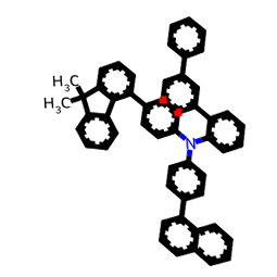 CC1(C)c2ccccc2-c2c(-c3ccc(N(c4ccc(-c5cccc6ccccc56)cc4)c4ccccc4-c4cccc(-c5ccccc5)c4)cc3)cccc21